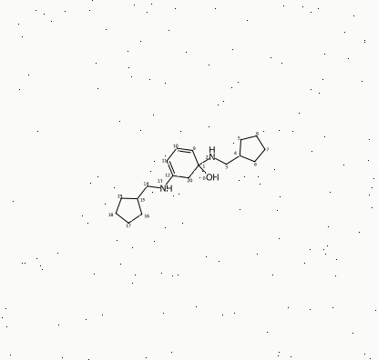 OC1(NCC2CCCC2)C=CC=C(NCC2CCCC2)C1